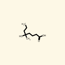 CCCC(C)(O)CCCC(=O)O